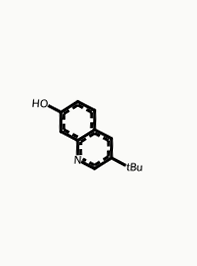 CC(C)(C)c1cnc2cc(O)ccc2c1